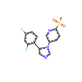 CS(=O)(=O)c1ccc(-n2cncc2-c2ccc(F)cc2F)cn1